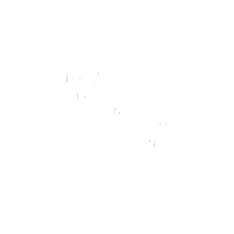 CC(C)(C)OC(=O)N1CCC(C(=O)N2CCCC2)CC1